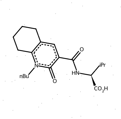 CCCCn1c2c(cc(C(=O)N[C@H](C(=O)O)C(C)C)c1=O)CCCC2